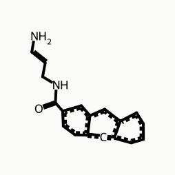 NC=CCNC(=O)c1ccc2cc3ccccc3cc2c1